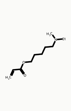 C=CC(=O)OCCCCCN(C)CC